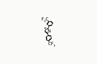 FC(F)(F)c1ccc(-c2csc(-c3cccc(C(F)(F)F)c3)n2)cc1